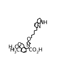 CC1(C)OCCc2c(C(C(=O)O)N3CC(OCCCCCc4ccc5c(n4)NCCC5)C3)cccc21